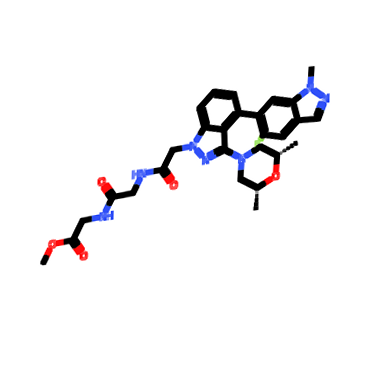 COC(=O)CNC(=O)CNC(=O)Cn1nc(N2C[C@@H](C)O[C@@H](C)C2)c2c(-c3cc4c(cnn4C)cc3F)cccc21